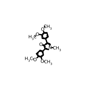 COc1ccc(-c2cn(C)cc(-c3ccc(OC)c(OC)c3)c2=O)cc1OC